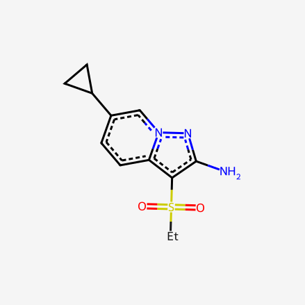 CCS(=O)(=O)c1c(N)nn2cc(C3CC3)ccc12